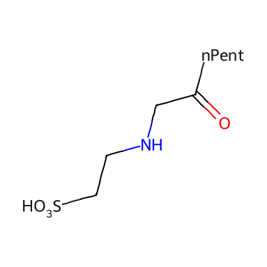 CCCCCC(=O)CNCCS(=O)(=O)O